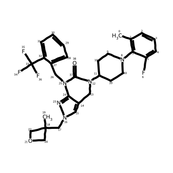 Cc1cccc(F)c1N1CCC(N2Cc3cn(CC4(C)COC4)nc3N(Cc3ccccc3C(F)(F)F)C2=O)CC1